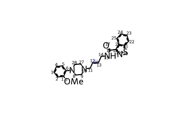 COc1ccccc1N1CCN(C/C=C/CNC(=O)c2nsc3ccccc23)CC1